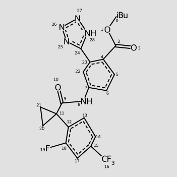 CCC(C)OC(=O)c1ccc(NC(=O)C2(c3ccc(C(F)(F)F)cc3F)CC2)cc1-c1nnn[nH]1